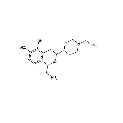 CCN1CCC(C2Cc3c(ccc(O)c3O)C(CN)O2)CC1